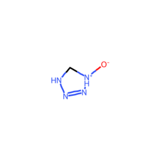 [O-][NH+]1CNN=N1